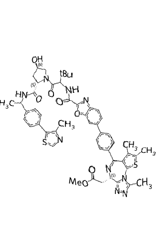 COC(=O)C[C@@H]1N=C(c2ccc(-c3ccc4nc(C(=O)NC(C(=O)N5C[C@H](O)C[C@H]5C(=O)NC(C)c5ccc(-c6scnc6C)cc5)C(C)(C)C)oc4c3)cc2)c2c(sc(C)c2C)-n2c(C)nnc21